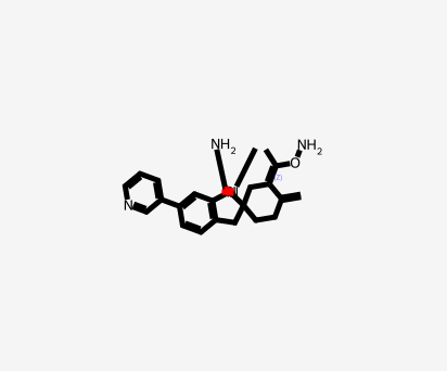 C=C1CCC2(C/C1=C(\C)ON)Cc1ccc(-c3cccnc3)cc1C21N=C(N)N(C)O1